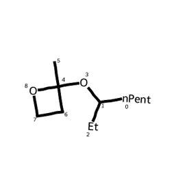 CCCCCC(CC)OC1(C)CCO1